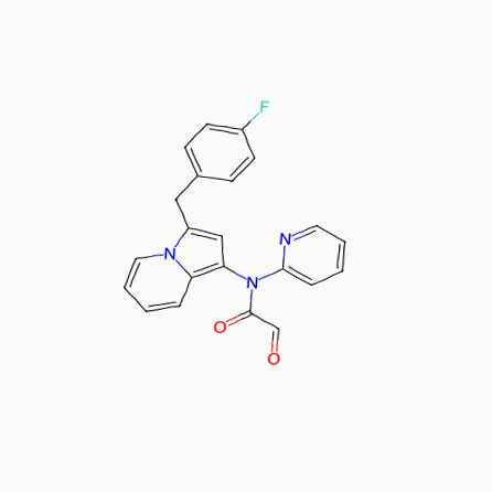 O=CC(=O)N(c1ccccn1)c1cc(Cc2ccc(F)cc2)n2ccccc12